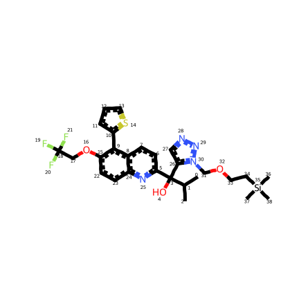 CC(C)C(O)(c1ccc2c(-c3cccs3)c(OCC(F)(F)F)ccc2n1)c1cnnn1COCC[Si](C)(C)C